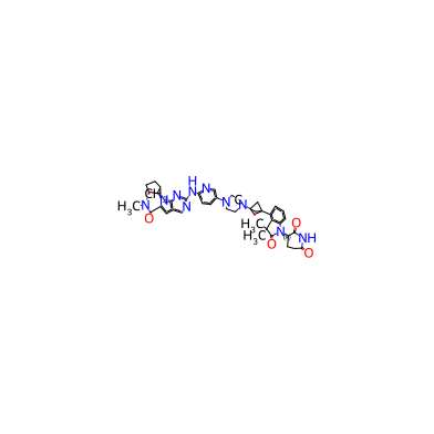 CN(C)C(=O)c1cc2cnc(Nc3ccc(N4CCN(C56CC(c7cccc8c7C(C)(C)C(=O)N8[C@@H]7CCC(=O)NC7=O)(C5)C6)CC4)cn3)nc2n1C1CCCC1